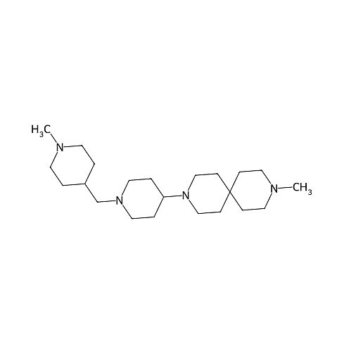 CN1CCC(CN2CCC(N3CCC4(CCN(C)CC4)CC3)CC2)CC1